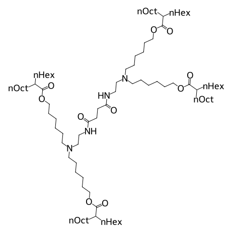 CCCCCCCCC(CCCCCC)C(=O)OCCCCCCN(CCCCCCOC(=O)C(CCCCCC)CCCCCCCC)CCNC(=O)CCC(=O)NCCN(CCCCCCOC(=O)C(CCCCCC)CCCCCCCC)CCCCCCOC(=O)C(CCCCCC)CCCCCCCC